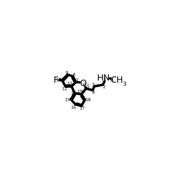 CNCCCC1Oc2ccc(F)cc2-c2ccccc21